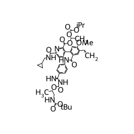 C=Cc1cc(C(=O)Nc2ccc(C(=N)NC(=O)OC(C)CNC(=O)OC(C)(C)C)cc2)c(-c2ccc(C(=O)NCC3CC3)nc2C(=O)OC(C)OC(=O)OC(C)C)cc1OC